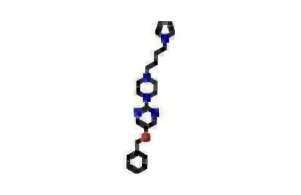 c1ccc(COc2cnc(N3CCN(CCCCn4cccc4)CC3)nc2)cc1